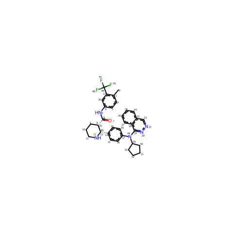 Cc1ccc(NC(=O)[C@H]2CCCN[C@H]2c2ccc(N(c3nncc4ccccc34)C3CCCC3)cc2)cc1C(F)(F)F